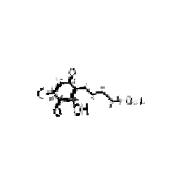 CCCCCCCCCCCCC1=C(O)C(=O)C(Cl)=CC1=O